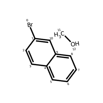 Brc1ccc2ccccc2c1.CO